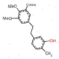 COc1cc(CCc2ccc(C)c(O)c2)cc(OC)c1OC